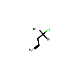 C=CCC(Cl)(C(=O)O)C(C)C